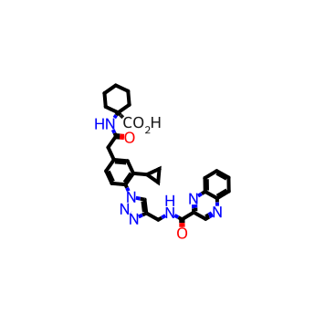 O=C(Cc1ccc(-n2cc(CNC(=O)c3cnc4ccccc4n3)nn2)c(C2CC2)c1)NC1(C(=O)O)CCCCC1